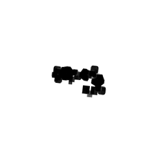 CS(=O)(=O)c1ccc(COC2CN(C(=O)N3CC[C@H](C(N)=O)C3)C2)c(F)c1